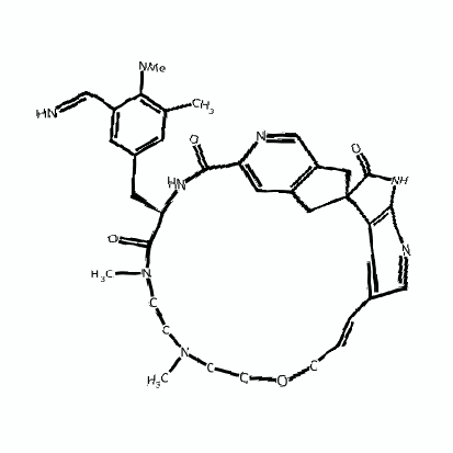 CNc1c(C)cc(C[C@H]2NC(=O)c3cc4c(cn3)C[C@@]3(C4)C(=O)Nc4ncc(cc43)/C=C/COCCN(C)CCN(C)C2=O)cc1C=N